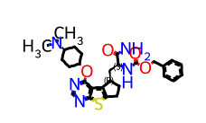 CN(C)[C@H]1CC[C@H](Oc2ncnc3sc4c(c23)[C@@H](C[C@H](NC(=O)OCc2ccccc2)C(N)=O)CC4)CC1